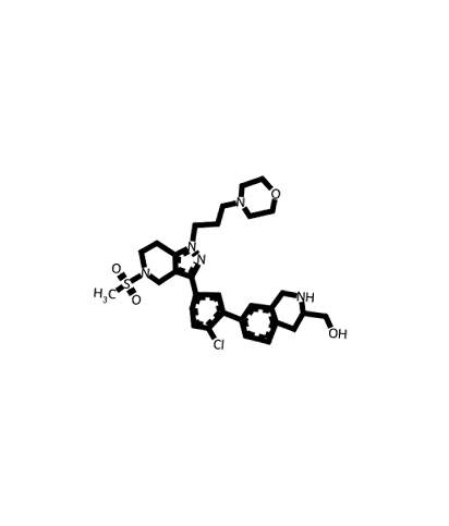 CS(=O)(=O)N1CCc2c(c(-c3ccc(Cl)c(-c4ccc5c(c4)CNC(CO)C5)c3)nn2CCCN2CCOCC2)C1